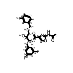 CC(=O)Nc1nc(C(=O)N[C@H](Cc2cc(F)cc(F)c2)[C@@H](O)CNCc2cccc(I)c2)co1